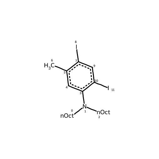 CCCCCCCCN(CCCCCCCC)c1cc(C)c(I)cc1I